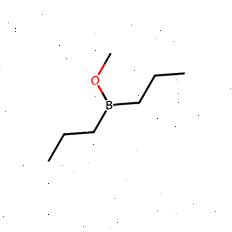 CCCB(CCC)OC